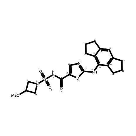 COC1CN(S(=O)(=O)NC(=O)c2cnc(Nc3c4c(cc5c3CCC5)CCC4)o2)C1